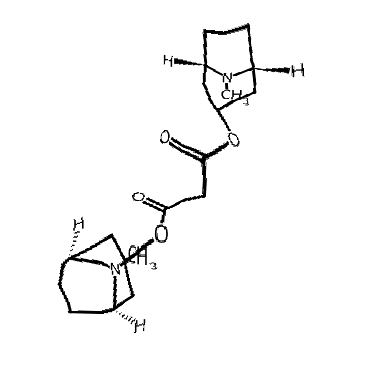 CN1[C@@H]2CC[C@H]1CC(OC(=O)CC(=O)OC1C[C@H]3CC[C@@H](C1)N3C)C2